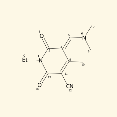 CCN1C(=O)C(=CN(C)C)C(C)=C(C#N)C1=O